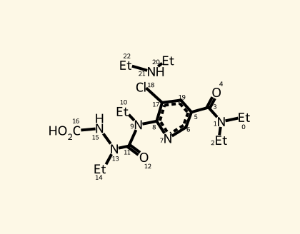 CCN(CC)C(=O)c1cnc(N(CC)C(=O)N(CC)NC(=O)O)c(Cl)c1.CCNCC